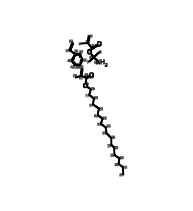 C=C(C)C(=O)OC(C)(C)N.C=C(C)C(=O)OCCCCCCCCCCCCCCCCCC.C=Cc1ccccc1